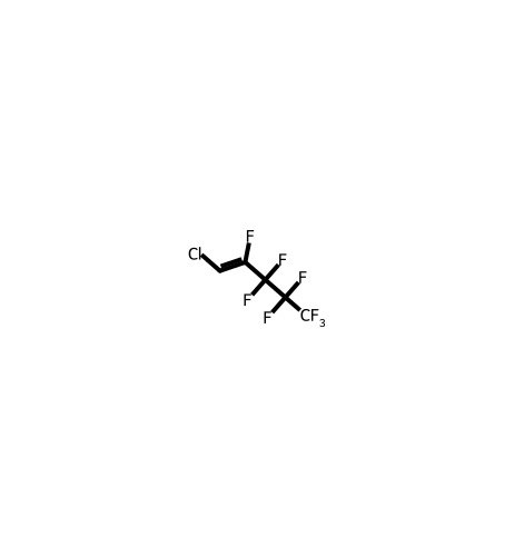 F/C(=C\Cl)C(F)(F)C(F)(F)C(F)(F)F